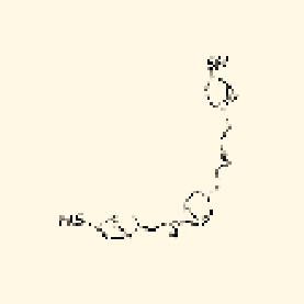 SC1CC2CC1CC2CCSCCC1CC2CC1CC2SCCC1CC2CC1CC2S